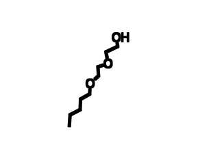 CCCCCOCCOCCO